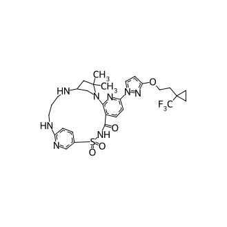 CC1(C)CC2CN1c1nc(-n3ccc(OCCC4(C(F)(F)F)CC4)n3)ccc1C(=O)NS(=O)(=O)c1ccc(nc1)NCCCN2